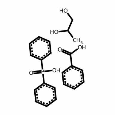 CC(O)CO.O=C(O)c1ccccc1.O=P(O)(c1ccccc1)c1ccccc1